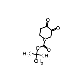 CC(C)(C)OC(=O)N1CCC(=O)C(=O)C1